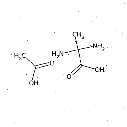 CC(=O)O.CC(N)(N)C(=O)O